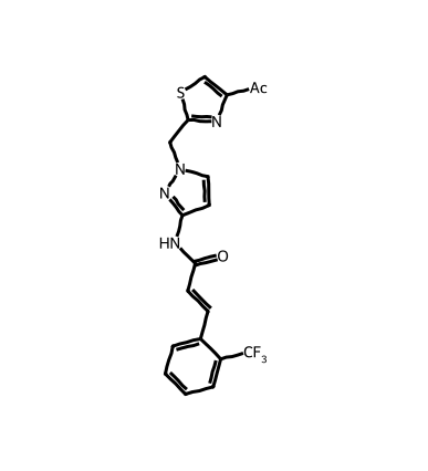 CC(=O)c1csc(Cn2ccc(NC(=O)/C=C/c3ccccc3C(F)(F)F)n2)n1